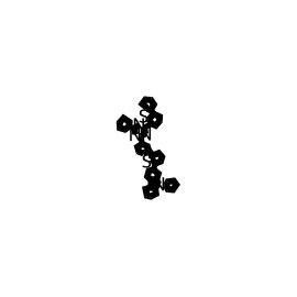 c1ccc(-c2nc(-c3ccc4sc5c(-c6ccc7c8ccccc8n(-c8ccccc8)c7c6)cccc5c4c3)nc(-c3cccc4c3sc3ccccc34)n2)cc1